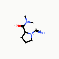 CN(C)C(=O)C1C[CH]CN1C=N